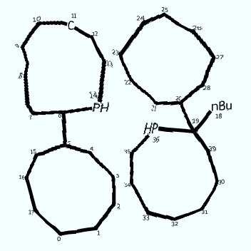 C1CCCCC(C2CCCCCCCP2)CCC1.CCCCC1(C2CCCCCCCC2)CCCCCCCP1